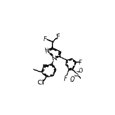 Cc1cc(-n2nc(C(F)F)cc2-c2cc(F)c(S(C)(=O)=O)c(F)c2)ccc1Cl